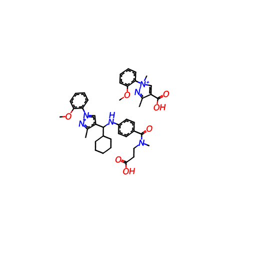 COc1ccccc1-n1cc(C(Nc2ccc(C(=O)N(C)CCC(=O)O)cc2)C2CCCCC2)c(C)n1.COc1ccccc1[N+]1(C)C=C(C(=O)O)C(C)=N1